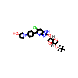 CC(C)(C)[Si](C)(C)O[C@@H]1CO[C@H]2[C@@H]1OC[C@H]2Oc1nc2nc(-c3ccc(N4CC[C@@H](O)C4)cc3)c(Cl)cc2[nH]1